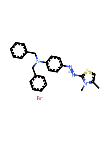 Cc1csc(/N=N/c2ccc(N(Cc3ccccc3)Cc3ccccc3)cc2)[n+]1C.[Br-]